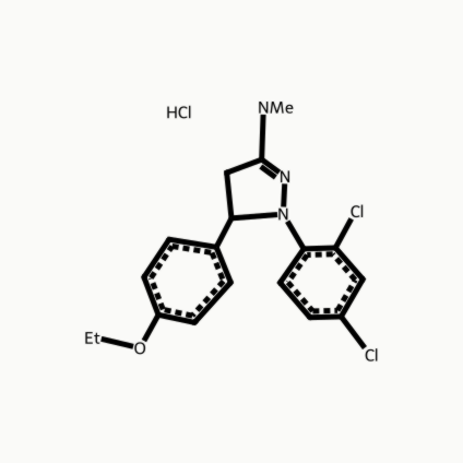 CCOc1ccc(C2CC(NC)=NN2c2ccc(Cl)cc2Cl)cc1.Cl